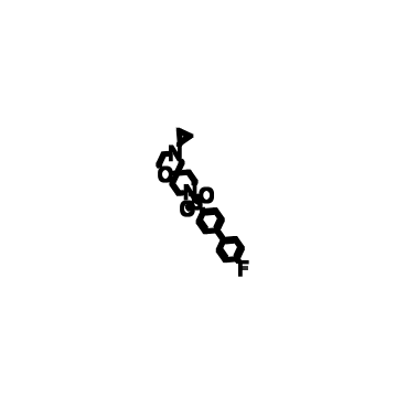 O=S(=O)(c1ccc(-c2ccc(F)cc2)cc1)N1CCC2(CC1)CN(C1CC1)CCO2